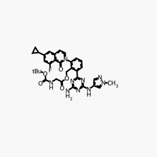 Cn1cc(Nc2nc(N)nc(-c3cccc(-n4ccc5cc(C6CC6)cc(F)c5c4=O)c3COC(=O)CNC(=O)OC(C)(C)C)n2)cn1